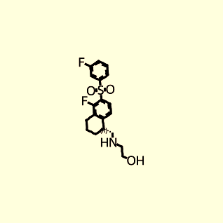 O=S(=O)(c1cccc(F)c1)c1ccc2c(c1F)CCC[C@H]2CNCCO